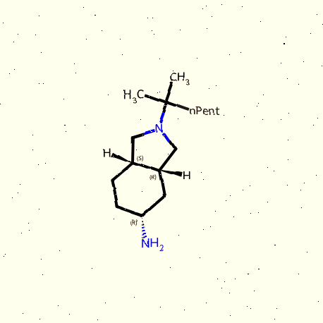 CCCCCC(C)(C)N1C[C@H]2CC[C@@H](N)C[C@H]2C1